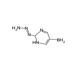 BC1=CNC(N=NN)N=C1